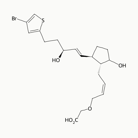 O=C(O)COC/C=C\C[C@H]1C(O)CC[C@@H]1/C=C/[C@@H](O)CCc1cc(Br)cs1